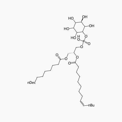 CCCC/C=C\CCCCCCCC(=O)O[C@H](COC(=O)CCCCCCCCCCCCCCCC)COP(=O)(O)OC1C(O)C(O)C(O)[C@@H](O)C1O